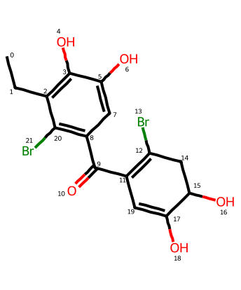 CCc1c(O)c(O)cc(C(=O)C2=C(Br)CC(O)C(O)=C2)c1Br